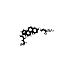 COC(=O)CCOC1CC[C@@]2(C)C(CCC3C2CC[C@@]2(C)C3CC[C@@H]2C(C)CCCC(C)C)C1